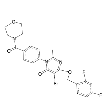 Cc1nc(OCc2ccc(F)cc2F)c(Br)c(=O)n1-c1ccc(C(=O)N2CCOCC2)cc1